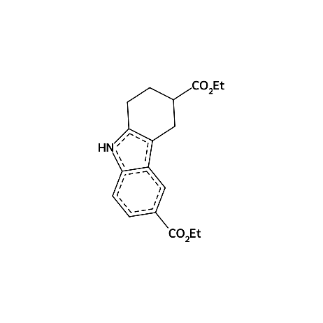 CCOC(=O)c1ccc2[nH]c3c(c2c1)CC(C(=O)OCC)CC3